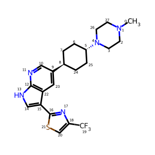 CN1CCN([C@H]2CC[C@H](c3cnc4[nH]cc(-c5nc(C(F)(F)F)cs5)c4c3)CC2)CC1